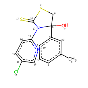 Cc1cccc(C2(O)CSC(=S)N2c2ccc(Cl)cn2)c1